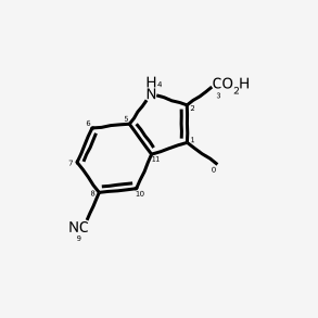 Cc1c(C(=O)O)[nH]c2ccc(C#N)cc12